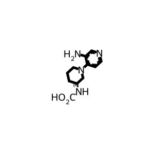 Nc1cnccc1N1CCC[C@@H](NC(=O)O)C1